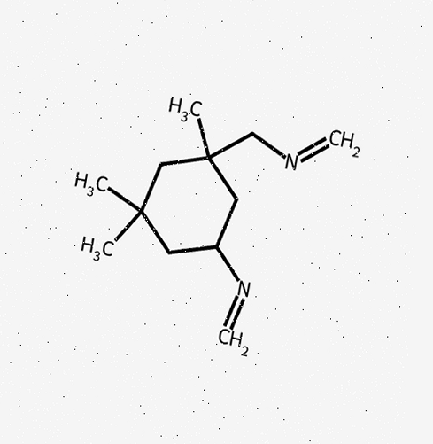 C=NCC1(C)CC(N=C)CC(C)(C)C1